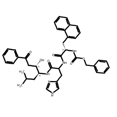 CC(C)C[C@H](NC(=O)C(Cc1c[nH]cn1)NC(=O)[C@H](Cc1cccc2ccccc12)NC(=O)OCc1ccccc1)[C@@H](O)CC(=O)c1ccccc1